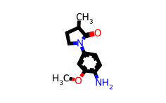 COc1cc(N2CCC(C)C2=O)ccc1N